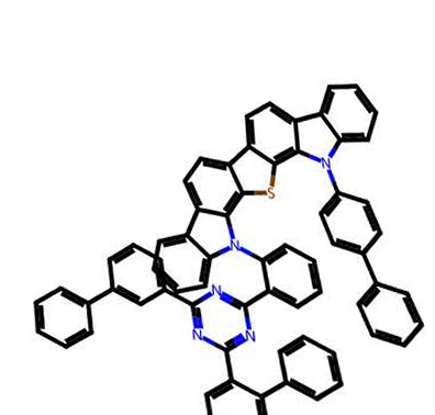 c1ccc(-c2ccc(-n3c4ccccc4c4ccc5c6ccc7c8ccccc8n(-c8ccccc8-c8nc(-c9cccc(-c%10ccccc%10)c9)nc(-c9ccccc9-c9ccccc9)n8)c7c6sc5c43)cc2)cc1